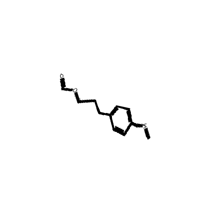 CSc1ccc(CCCO[C]=O)cc1